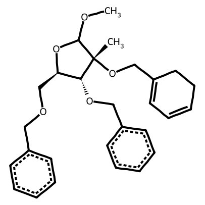 COC1O[C@H](COCc2ccccc2)[C@@H](OCc2ccccc2)[C@@]1(C)OCC1=CC=CCC1